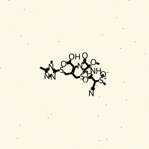 CO[C@@]1(NC(=O)C(C#N)[S+](C)[O-])C(=O)N2C(C(=O)O)=C(CSc3nnc(C)n3C)CS[C@H]21